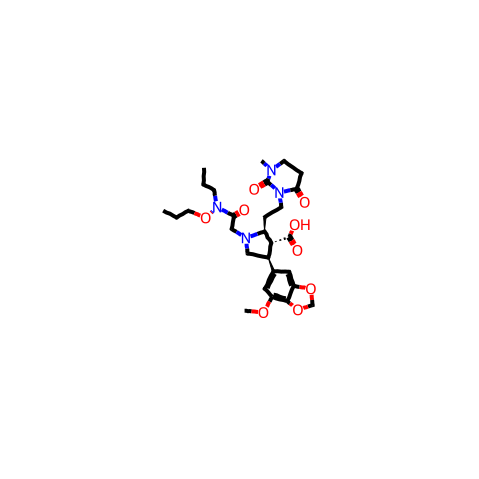 CCCON(CCC)C(=O)CN1C[C@H](c2cc(OC)c3c(c2)OCO3)[C@@H](C(=O)O)[C@@H]1CCN1C(=O)CCN(C)C1=O